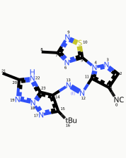 [C-]#[N+]c1cnn(-c2nc(C)ns2)c1/N=N/c1c(C(C)(C)C)nn2nc(C)[nH]c12